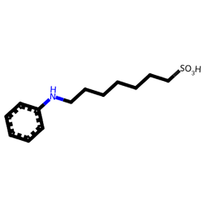 O=S(=O)(O)CCCCCCCNc1ccccc1